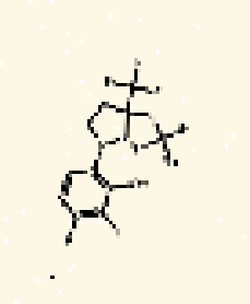 [2H]C([2H])([2H])OC1(C(F)(F)F)CCN(c2ccc(F)c(F)c2O)C1